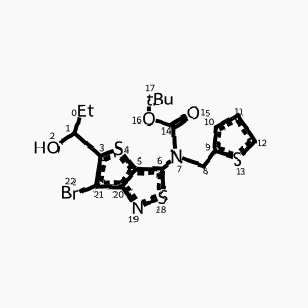 CCC(O)c1sc2c(N(Cc3cccs3)C(=O)OC(C)(C)C)snc2c1Br